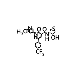 Cn1cc(-n2nc(-c3ccc(C(F)(F)F)cc3)cc(C(=O)NC3CSCC3O)c2=O)cn1